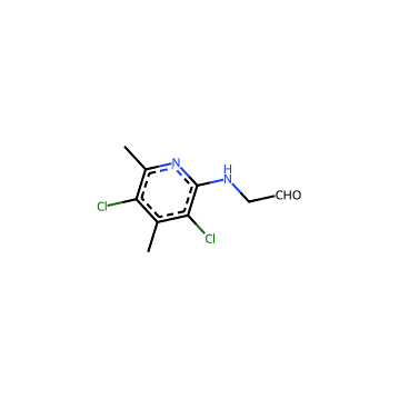 Cc1nc(NCC=O)c(Cl)c(C)c1Cl